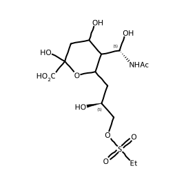 CCS(=O)(=O)OC[C@@H](O)CC1OC(O)(C(=O)O)CC(O)C1[C@H](O)NC(C)=O